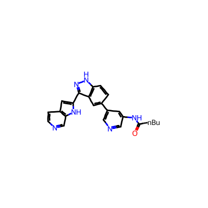 CCCCC(=O)Nc1cncc(-c2ccc3[nH]nc(-c4cc5ccncc5[nH]4)c3c2)c1